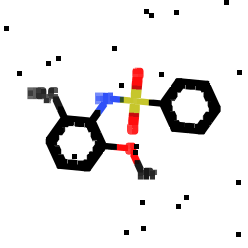 CCCOc1cccc(C(=O)O)c1NS(=O)(=O)c1ccccc1